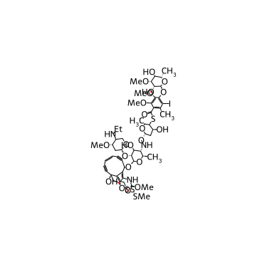 CCN[C@H]1CO[C@@H](O[C@H]2[C@H](O[C@H]3C#C/C=C\C#C[C@@]4(O)CC(=O)C(NC(=O)OC)=C3/C4=C\CSSSC)O[C@H](C)[C@@H](NO[C@H]3C[C@H](O)[C@H](SC(=O)c4c(C)c(I)c(O[C@@H]5O[C@@H](C)[C@H](O)[C@@H](OC)[C@H]5O)c(OC)c4OC)[C@@H](C)O3)[C@@H]2O)C[C@@H]1OC